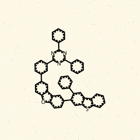 c1ccc(-c2nc(-c3ccccc3)nc(-c3cccc(-c4ccc5oc6ccc(-c7cc8sc9ccccc9c8cc7-c7ccccc7)cc6c5c4)c3)n2)cc1